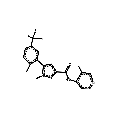 Cc1ccc(C(F)(F)F)cc1-c1cc(C(=O)Nc2ccncc2F)nn1C